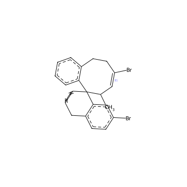 CC1/C=C(/Br)CCc2ccccc2C12C1=CCCC=C1Cc1ccc(Br)cc12